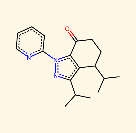 CC(C)c1nn(-c2ccccn2)c2c1C(C(C)C)CCC2=O